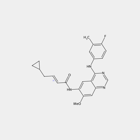 COc1cc2ncnc(Nc3ccc(F)c(C)c3)c2cc1NC(=O)/C=C/CC1CC1